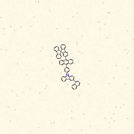 c1ccc2c(c1)-c1ccccc1C21c2ccccc2-c2ccc(-c3c4ccccc4c(-c4ccc(-n5c6ccccc6c6cc(-c7cccc8ccccc78)ccc65)cc4)c4ccccc34)cc21